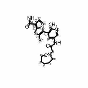 Cc1ncc(NC(=O)CN2CCCCCC2)cc1-c1c(Br)sc2c(C(N)=O)cnn12